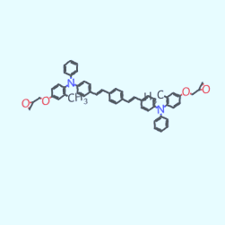 Cc1cc(OCC2CO2)ccc1N(c1ccccc1)c1ccc(/C=C/c2ccc(/C=C/c3ccc(N(c4ccccc4)c4ccc(OCC5CO5)cc4C)cc3)cc2)cc1